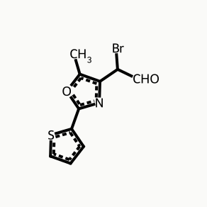 Cc1oc(-c2cccs2)nc1C(Br)C=O